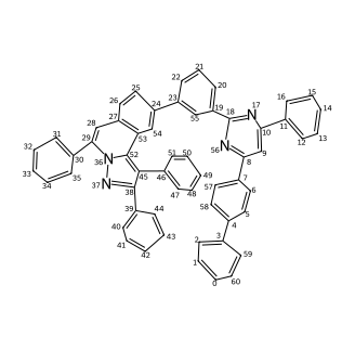 c1ccc(-c2ccc(-c3cc(-c4ccccc4)nc(-c4cccc(-c5ccc6cc(-c7ccccc7)n7nc(-c8ccccc8)c(-c8ccccc8)c7c6c5)c4)n3)cc2)cc1